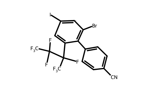 N#Cc1ccc(-c2c(Br)[c]c(I)cc2C(F)(C(F)(F)F)C(F)(F)C(F)(F)F)cc1